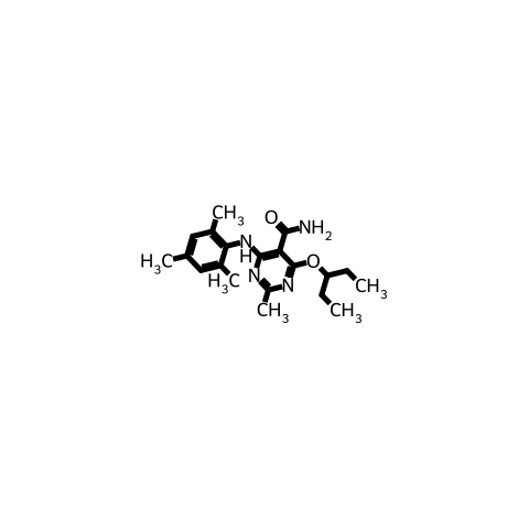 CCC(CC)Oc1nc(C)nc(Nc2c(C)cc(C)cc2C)c1C(N)=O